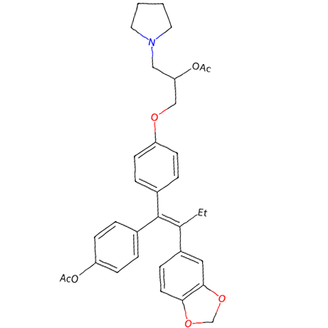 CCC(=C(c1ccc(OCC(CN2CCCC2)OC(C)=O)cc1)c1ccc(OC(C)=O)cc1)c1ccc2c(c1)OCO2